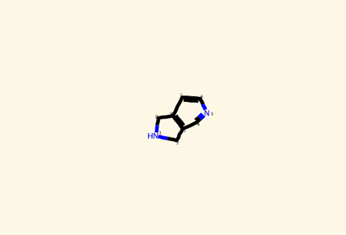 [CH]1NCc2cnccc21